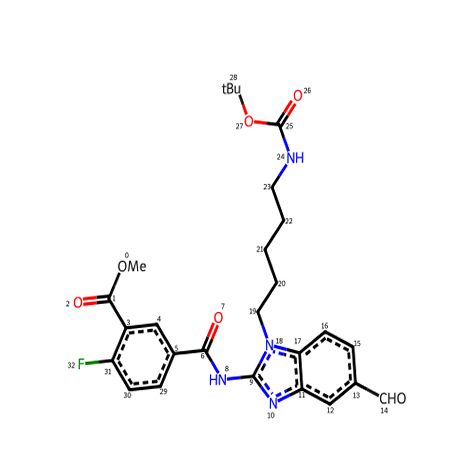 COC(=O)c1cc(C(=O)Nc2nc3cc(C=O)ccc3n2CCCCCNC(=O)OC(C)(C)C)ccc1F